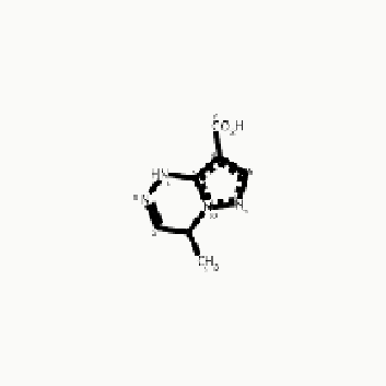 CC1C=NNc2c(C(=O)O)cnn21